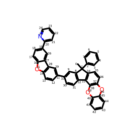 CC1(c2ccccc2)c2cc(-c3ccc4oc5ccc(-c6ccccn6)cc5c4c3)ccc2-c2c1ccc1c2Oc2ccccc2O1